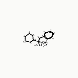 CCOC(=O)[C@](O)(Cc1ccccc1)C1CCCCC1